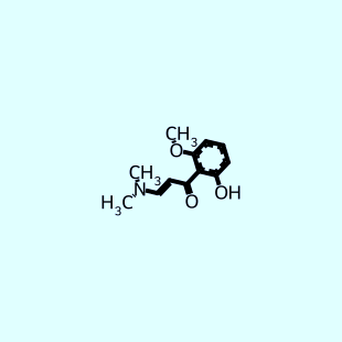 COc1cccc(O)c1C(=O)C=CN(C)C